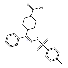 Cc1ccc(S(=O)(=O)N/N=C(/c2ccccc2)C2CCN(C(=O)O)CC2)cc1